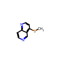 CSc1ccnc2ccncc12